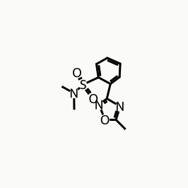 Cc1nc(-c2ccccc2S(=O)(=O)N(C)C)no1